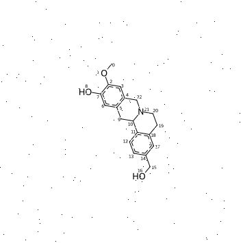 COc1cc2c(cc1O)CC1c3ccc(CO)cc3CCN1C2